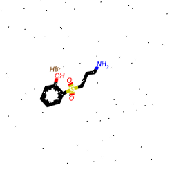 Br.NCCCS(=O)(=O)c1ccccc1O